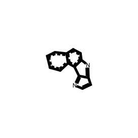 C1=CC2=Nc3ccc4ccccc4c3C2=N1